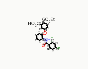 CCOC(=O)c1ccc(Oc2ccccc2NC(=O)c2ccc(F)cc2F)cc1C(=O)O